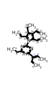 C=C/C(=C\C)c1nc(CC)nc(-n2c(C=C)c(C=C)c(C=C)c2C=C)n1